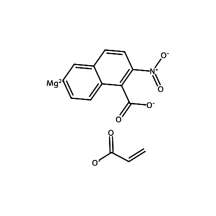 C=CC(=O)[O-].O=C([O-])c1c([N+](=O)[O-])ccc2ccccc12.[Mg+2]